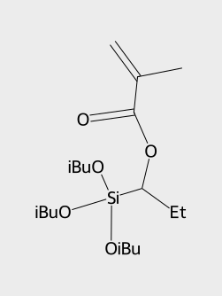 C=C(C)C(=O)OC(CC)[Si](OCC(C)C)(OCC(C)C)OCC(C)C